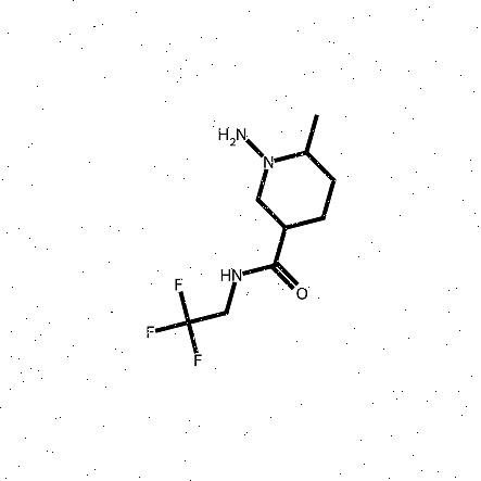 CC1CCC(C(=O)NCC(F)(F)F)CN1N